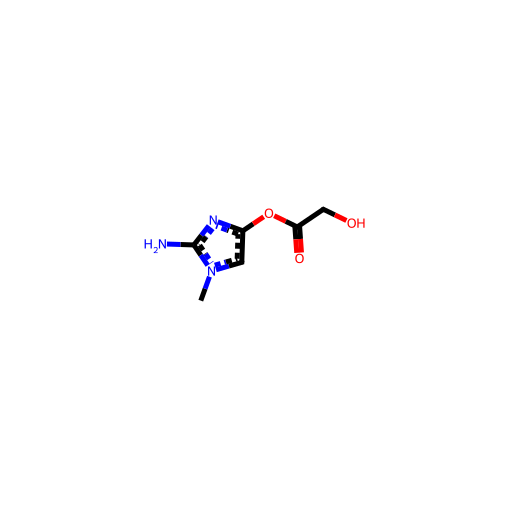 Cn1cc(OC(=O)CO)nc1N